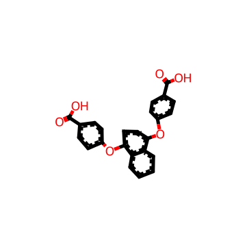 O=C(O)c1ccc(Oc2[c]cc(Oc3ccc(C(=O)O)cc3)c3ccccc23)cc1